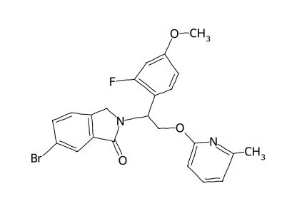 COc1ccc(C(COc2cccc(C)n2)N2Cc3ccc(Br)cc3C2=O)c(F)c1